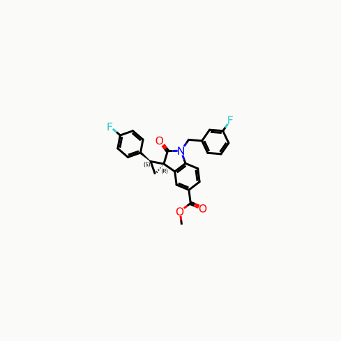 COC(=O)c1ccc2c(c1)[C@]1(C[C@H]1c1ccc(F)cc1)C(=O)N2Cc1cccc(F)c1